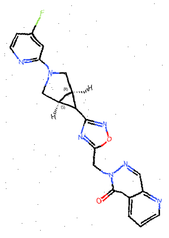 O=c1c2cccnc2cnn1Cc1nc(C2[C@H]3CN(c4cc(F)ccn4)C[C@@H]23)no1